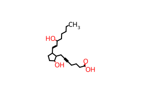 CCCCCC(O)/C=C/C1CCC(O)C1CC#CCCCC(=O)O